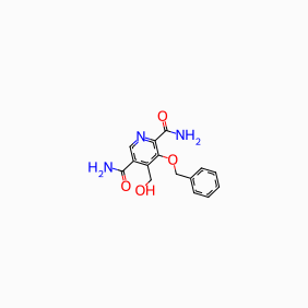 NC(=O)c1cnc(C(N)=O)c(OCc2ccccc2)c1CO